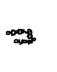 CN(O)C(=O)c1ccc2c(c1)CCO[C@H]2CCN1CCN(c2ccc(Cl)cc2)CC1